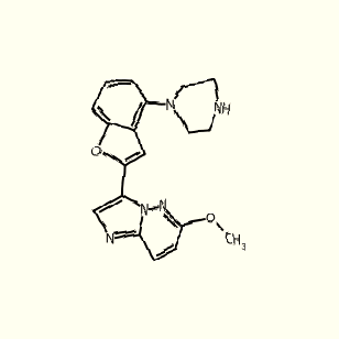 COc1ccc2ncc(-c3cc4c(N5CCNCC5)cccc4o3)n2n1